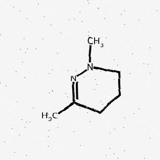 CC1=NN(C)CCC1